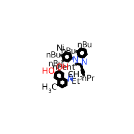 CCCC#CC(=Nc1ccc(CCCC)c(CCCC)c1)C(CCCCC)=Nc1ccc(CCCC)c(CCCC)c1.CCN(C)c1ccc(C)c2cc(O)c(O)cc12.[Ni]